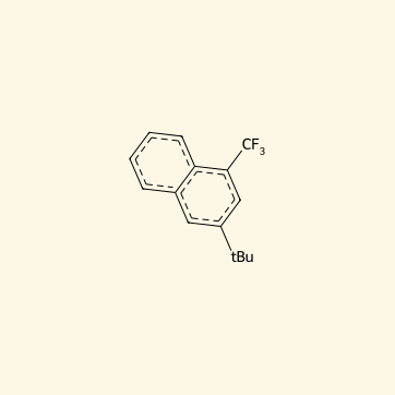 CC(C)(C)c1cc(C(F)(F)F)c2ccccc2c1